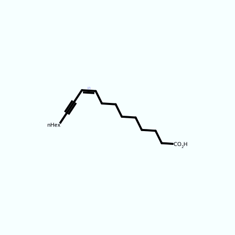 CCCCCCC#C/C=C\CCCCCCCC(=O)O